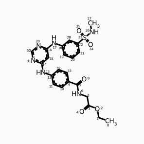 CCOC(=O)CNC(=O)c1ccc(Nc2cc(Nc3cccc(S(=O)(=O)NC)c3)ncn2)cc1